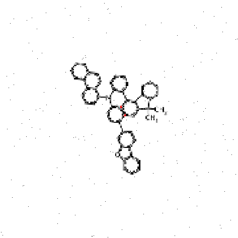 CC1(C)c2ccccc2-c2c(-c3ccccc3N(c3ccc(-c4ccc5c(c4)oc4ccccc45)cc3)c3cccc4c3ccc3ccccc34)cccc21